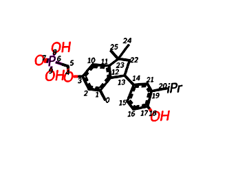 Cc1cc(OCP(=O)(O)O)cc2c1C(c1ccc(O)c(C(C)C)c1)CC2(C)C